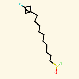 [O-][S+](Cl)CCCCCCCCCCC12CC(F)(C1)C2